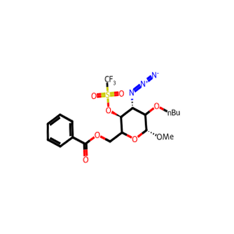 CCCCOC1[C@H](OC)OC(COC(=O)c2ccccc2)[C@@H](OS(=O)(=O)C(F)(F)F)[C@@H]1N=[N+]=[N-]